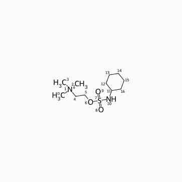 C[N+](C)(C)CCOS(=O)(=O)NC1CCCCC1